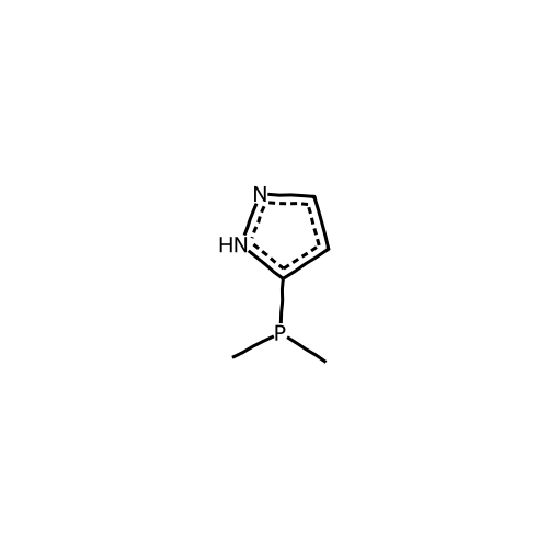 CP(C)c1ccn[nH]1